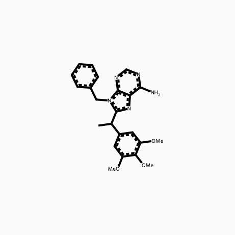 COc1cc(C(C)c2nc3c(N)ncnc3n2Cc2ccccc2)cc(OC)c1OC